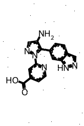 Nc1cnn(-c2cc(C(=O)O)ccn2)c1-c1ccc2cn[nH]c2c1